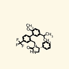 COc1ccc(C(C)C)cc1-c1ccc(C(F)(F)F)cc1CN1C(=O)NC[C@H]1c1ccccc1